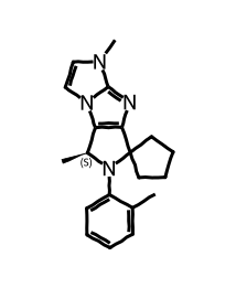 Cc1ccccc1N1[C@@H](C)c2c(nc3n(C)ccn23)C12CCCC2